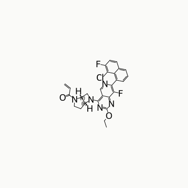 C=CC(=O)N1CC[C@@H]2[C@H]1CN2c1nc(OCC)nc2c(F)c(-c3cccc4ccc(F)c(Cl)c34)ncc12